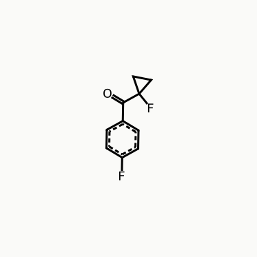 O=C(c1ccc(F)cc1)C1(F)CC1